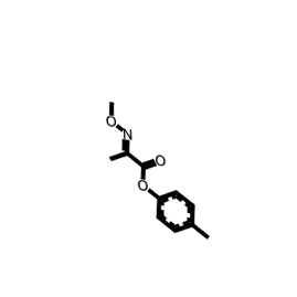 CO/N=C(\C)C(=O)Oc1ccc(C)cc1